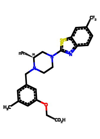 CCC[C@@H]1CN(c2nc3ccc(C(F)(F)F)cc3s2)CCN1Cc1cc(C)cc(OCC(=O)O)c1